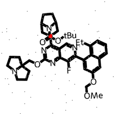 CCc1cccc2cc(OCOC)cc(-c3ncc4c(N5CC6CCC(C5)N6C(=O)OC(C)(C)C)nc(OCC56CCCN5CCC6)nc4c3F)c12